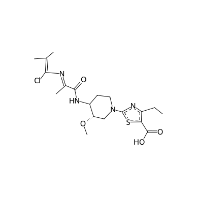 CCc1nc(N2CCC(NC(=O)/C(C)=N/C(Cl)=C(C)C)[C@@H](OC)C2)sc1C(=O)O